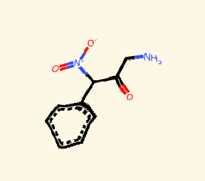 NCC(=O)C(c1ccccc1)[N+](=O)[O-]